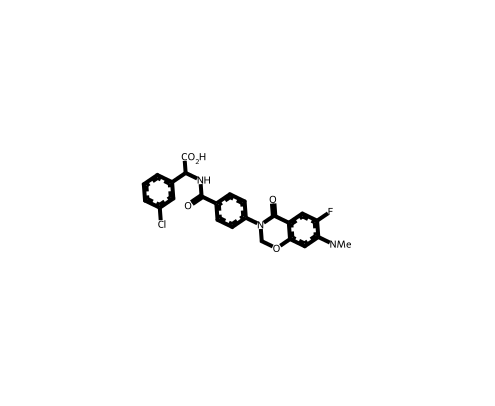 CNc1cc2c(cc1F)C(=O)N(c1ccc(C(=O)NC(C(=O)O)c3cccc(Cl)c3)cc1)CO2